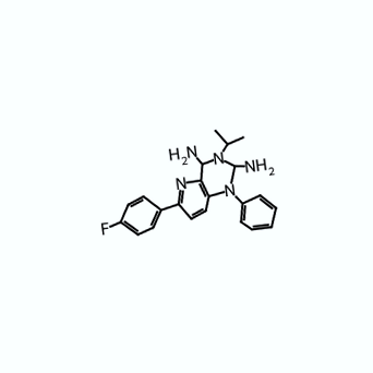 CC(C)N1C(N)c2nc(-c3ccc(F)cc3)ccc2N(c2ccccc2)C1N